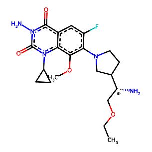 CCOC[C@@H](N)C1CCN(c2c(F)cc3c(=O)n(N)c(=O)n(C4CC4)c3c2OC)C1